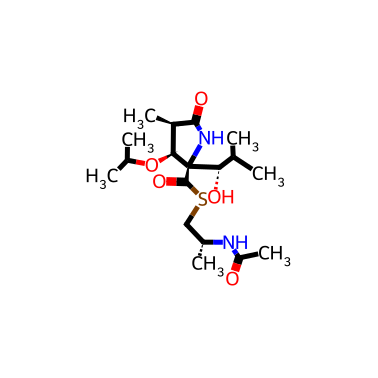 CC(=O)N[C@H](C)CSC(=O)[C@]1([C@@H](O)C(C)C)NC(=O)[C@H](C)[C@@H]1OC(C)C